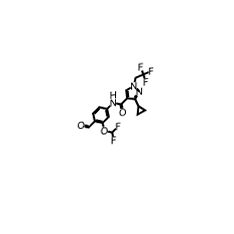 O=Cc1ccc(NC(=O)c2cn(CC(F)(F)F)nc2C2CC2)cc1OC(F)F